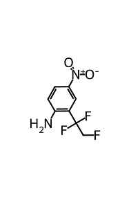 Nc1ccc([N+](=O)[O-])cc1C(F)(F)CF